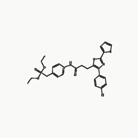 CCOP(=O)(Cc1ccc(NC(=O)CCc2oc(-c3cccs3)nc2-c2ccc(Cl)cc2)cc1)OCC